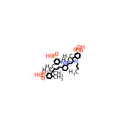 C=C(/C=C/C1=C(Nc2cccc(S(=O)O)c2)C(=C/C=C2/N(CCCC)c3ccc(S(=O)(=O)O)cc3C2(C)C)/CCC1)C(C)(C)c1cc(S(=O)(=O)O)ccc1C